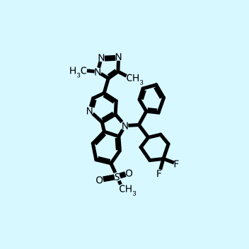 Cc1nnn(C)c1-c1cnc2c3ccc(S(C)(=O)=O)cc3n(C(c3ccccc3)C3CCC(F)(F)CC3)c2c1